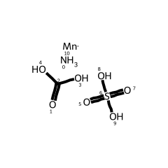 N.O=C(O)O.O=S(=O)(O)O.[Mn]